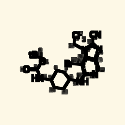 CC(C)(C)OC(=O)NC1CCC(Nc2ncc3nc(C#N)n(CC(F)(F)F)c3c2Br)CC1